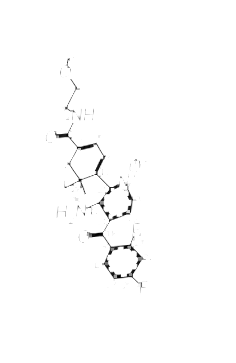 COCCNC(=O)C1=CC=C(c2c(N)c(C(=O)c3ccc(F)cc3F)cc[n+]2[O-])C(C)(C)C1